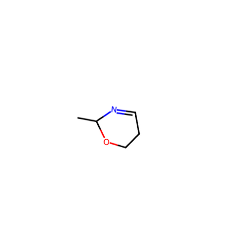 CC1N=CCCO1